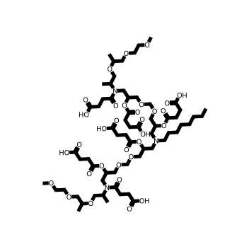 CCCCCCCCN(CC(COCOCC(CN(C(=O)CCC(=O)O)C(C)COC(C)COCCOC)OC(=O)CCC(=O)O)OC(=O)CCC(=O)O)CC(COCOCC(CN(C(=O)CCC(=O)O)C(C)COC(C)COCCOC)OC(=O)CCC(=O)O)OC(=O)CCC(=O)O